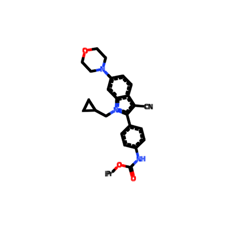 CC(C)OC(=O)Nc1ccc(-c2c(C#N)c3ccc(N4CCOCC4)cc3n2CC2CC2)cc1